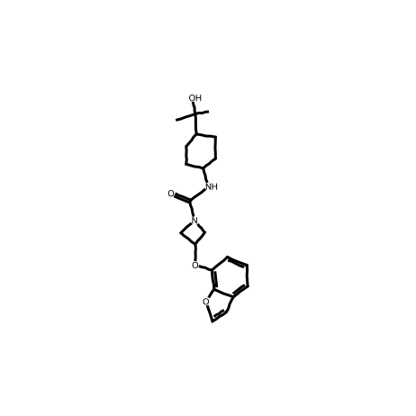 CC(C)(O)C1CCC(NC(=O)N2CC(Oc3cccc4ccoc34)C2)CC1